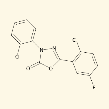 O=c1oc(-c2cc(F)ccc2Cl)nn1-c1ccccc1Cl